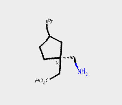 CC(C)C1CC[C@](CN)(CC(=O)O)C1